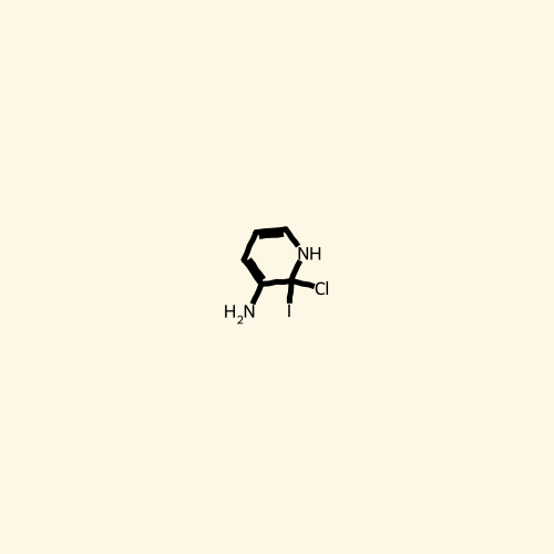 NC1=CC=CNC1(Cl)I